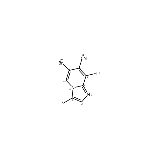 Cc1cnc2c(I)c(C#N)c(Br)cn12